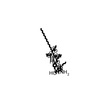 CCCCCCCCCCCCCCCCC(SCC(NC(=O)OC(C)(C)C)C(=O)NC(COC(C)(C)C)C(=O)Nc1ccc(Cn2c(O)nc3c(N)nc(NCCCC)nc32)cc1)C(=O)OCC